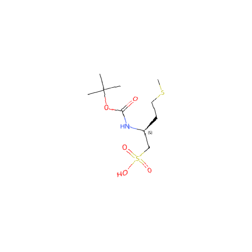 CSCC[C@@H](CS(=O)(=O)O)NC(=O)OC(C)(C)C